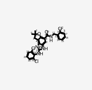 CC1(C)Cc2c3c(cc(C(=O)NCc4ccccc4C(F)(F)F)c2O1)NC(Nc1c(Cl)cccc1Cl)N3